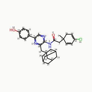 CC1(CC(=O)Nc2ncc(-c3ccc(O)cc3)nc2CC23CC4CC(CC(C4)C2)C3)C=CC(Cl)=CC1